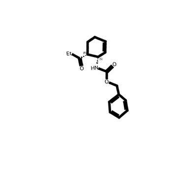 CCC(=O)[C@@H]1CCC=C[C@@H]1NC(=O)OCc1ccccc1